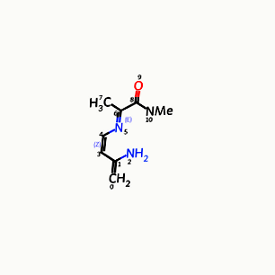 C=C(N)/C=C\N=C(/C)C(=O)NC